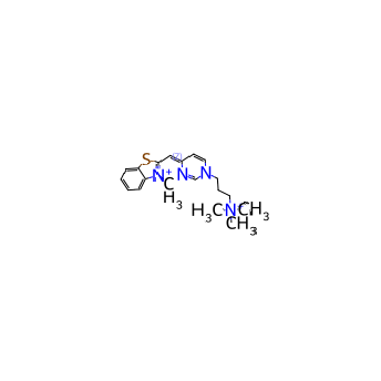 C[n+]1c(/C=C2/C=CN(CCC[N+](C)(C)C)C=N2)sc2ccccc21